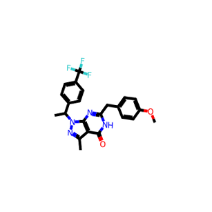 COc1ccc(Cc2nc3c(c(C)nn3C(C)c3ccc(C(F)(F)F)cc3)c(=O)[nH]2)cc1